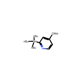 CCC[CH2][Sn]([CH2]CCC)([CH2]CCC)[c]1cc(OC)ccn1